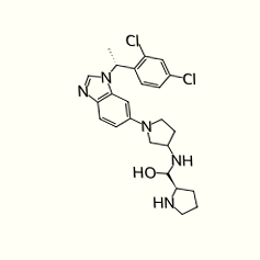 C[C@H](c1ccc(Cl)cc1Cl)n1cnc2ccc(N3CCC(NC(O)[C@H]4CCCN4)C3)cc21